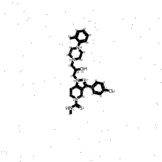 CNC(=S)N1CCc2c(c(-c3ccc(Cl)cc3)nn2CC(O)CN2CCN(c3ccccc3C)CC2)C1